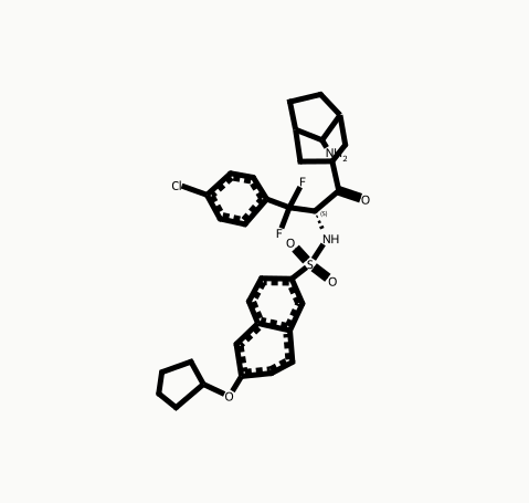 NC1C2CCC1CC(C(=O)[C@H](NS(=O)(=O)c1ccc3cc(OC4CCCC4)ccc3c1)C(F)(F)c1ccc(Cl)cc1)C2